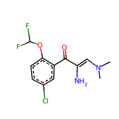 CN(C)/C=C(\N)C(=O)c1cc(Cl)ccc1OC(F)F